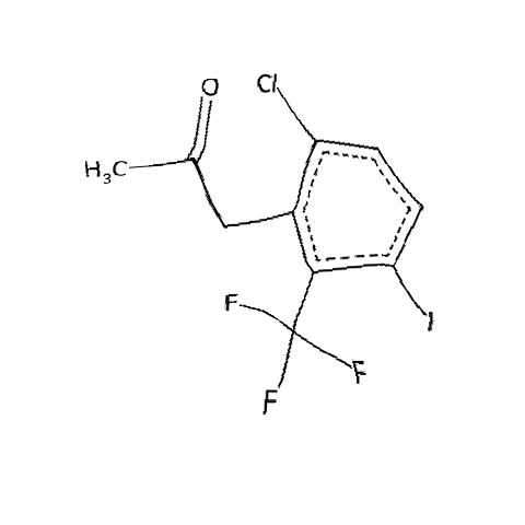 CC(=O)Cc1c(Cl)ccc(I)c1C(F)(F)F